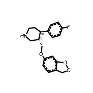 Fc1ccc([C@@H]2CCNC[C@H]2COc2ccc3c(c2)OOC3)cc1